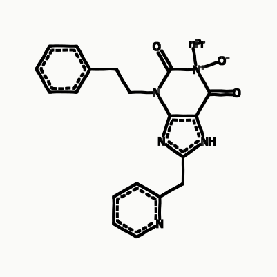 CCC[N+]1([O-])C(=O)c2[nH]c(Cc3ccccn3)nc2N(CCc2ccccc2)C1=O